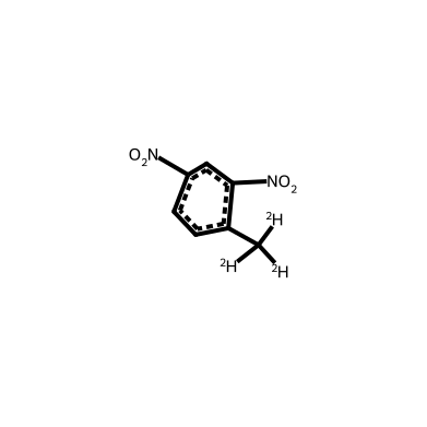 [2H]C([2H])([2H])c1ccc([N+](=O)[O-])cc1[N+](=O)[O-]